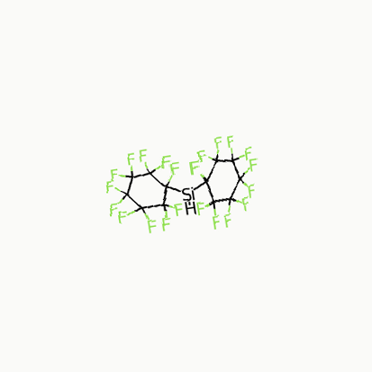 C[SiH](C1(F)C(F)(F)C(F)(F)C(F)(F)C(F)(F)C1(F)F)C1(F)C(F)(F)C(F)(F)C(F)(F)C(F)(F)C1(F)F